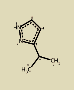 CC(C)c1[c]c[nH]n1